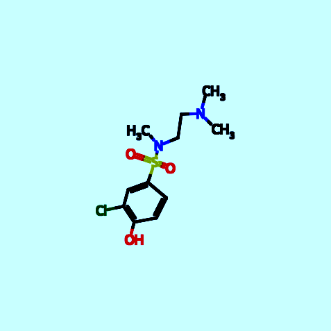 CN(C)CCN(C)S(=O)(=O)c1ccc(O)c(Cl)c1